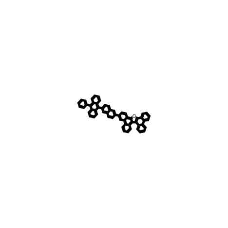 c1ccc(-c2c3ccccc3c(-c3ccc4cc(-c5ccc6c(c5)c5ccccc5c5c6oc6c7ccccc7c7ccccc7c65)ccc4c3)c3ccccc23)cc1